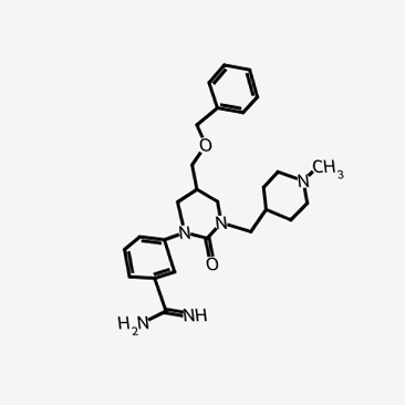 CN1CCC(CN2CC(COCc3ccccc3)CN(c3cccc(C(=N)N)c3)C2=O)CC1